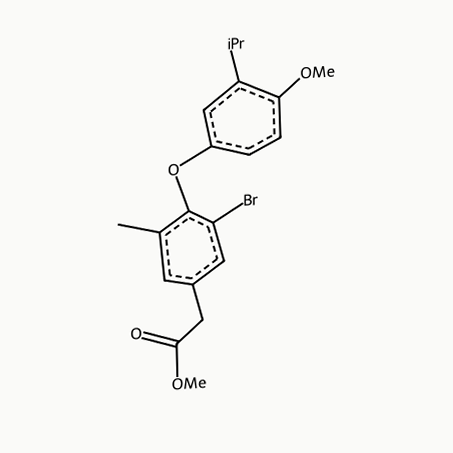 COC(=O)Cc1cc(C)c(Oc2ccc(OC)c(C(C)C)c2)c(Br)c1